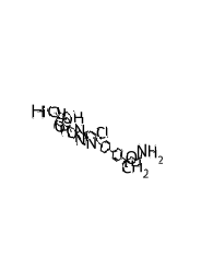 C=C(O/C=C\N)c1ccc(-c2ccc(-c3nc4nc(O[C@@H]5CO[C@H]6[C@@H]5OC[C@H]6O)[nH]c4cc3Cl)cc2)cc1